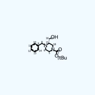 CC(C)(C)OC(=O)N1CCN(Cc2ccccc2)[C@H](CO)C1